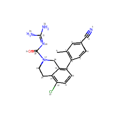 Cc1cc(C#N)ccc1-c1ccc(Cl)c2c1CN(C(=O)N=C(N)N)CC2